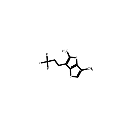 Cc1sc2c(C)csc2c1CCC(F)(F)F